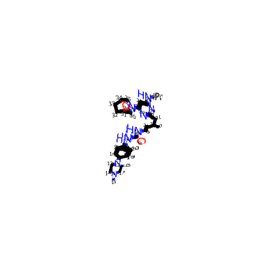 CC(=CCNC(=O)Nc1ccc(N2CCN(C)CC2)cc1)Cc1nc(NC(C)C)cc(N2CC3CCC(C2)O3)n1